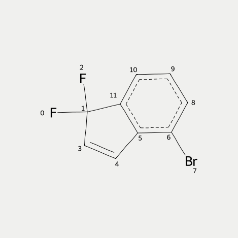 FC1(F)C=Cc2c(Br)cccc21